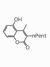 CCCCCc1c(C)c2c(O)cccc2oc1=O